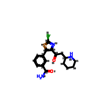 NC(=O)c1cccc(-c2sc(Br)nc2C(=O)[CH]C2CCCCN2)c1